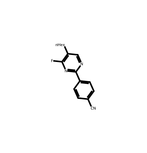 CCCCCCc1cnc(-c2ccc(C#N)cc2)nc1F